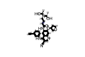 C#Cc1cccc(Nc2c(C#N)cnc3cc(O[C@H]4CCOC4)c(NC(=O)/C=C/CN([C@H](C)O)[C@H](C)O)cc23)c1